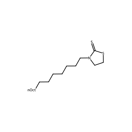 CCCCCCCCCCCCCCCN1CCSC1=S